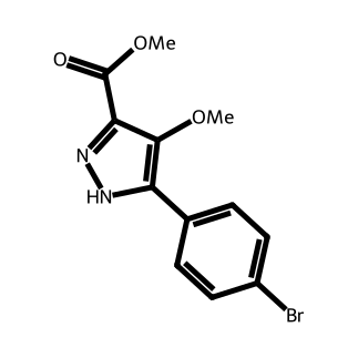 COC(=O)c1n[nH]c(-c2ccc(Br)cc2)c1OC